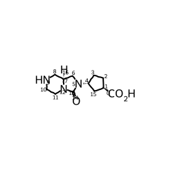 O=C(O)[C@@H]1CC[C@@H](N2C[C@@H]3CNCCN3C2=O)C1